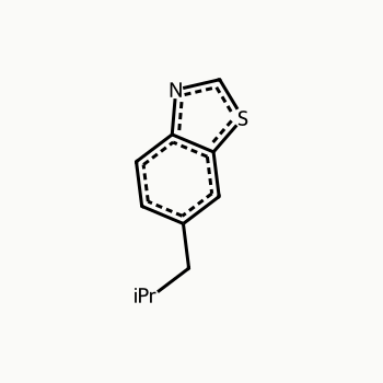 CC(C)Cc1ccc2ncsc2c1